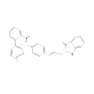 O=C(Nc1ccc(C=CCN2C(=O)c3ccccc3C2=O)cc1)c1ccccc1-c1ccc(C(F)(F)F)cc1